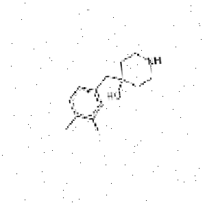 Cc1ccc(CC2(O)CCNCC2)cc1C